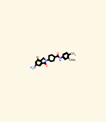 COc1cc(NC(=O)C2CCC(N3Cc4c(Br)cc(N)cc4C3=O)CC2)ccc1C